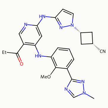 CCC(=O)c1cnc(Nc2ccn([C@H]3C[C@@H](C#N)C3)n2)cc1Nc1cccc(-c2ncn(C)n2)c1OC